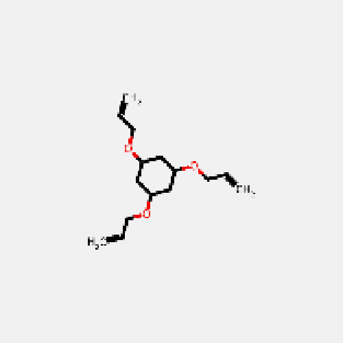 C=CCOC1CC(OCC=C)CC(OCC=C)C1